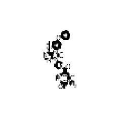 CC(C)(C=C(C#N)C(=O)N1CC[C@H](n2c(=O)n(-c3ccc(Oc4ccccc4)cc3)c3c(N)ncnc32)C1)NC1COC1